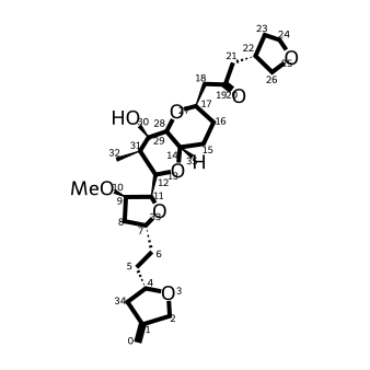 C=C1CO[C@@H](CC[C@@H]2C[C@@H](OC)[C@@H](C3O[C@H]4CC[C@H](CC(=O)C[C@@H]5CCOC5)OC4[C@H](O)[C@@H]3C)O2)C1